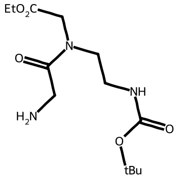 CCOC(=O)CN(CCNC(=O)OC(C)(C)C)C(=O)CN